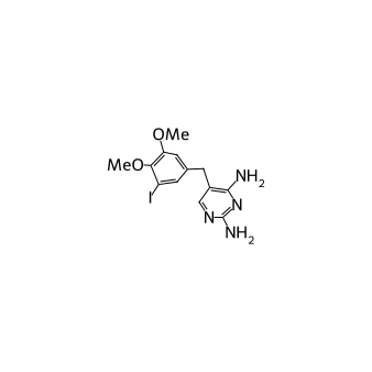 COc1cc(Cc2cnc(N)nc2N)cc(I)c1OC